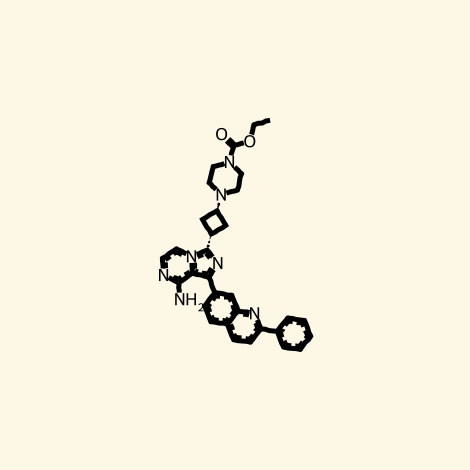 CCOC(=O)N1CCN([C@H]2C[C@@H](c3nc(-c4ccc5ccc(-c6ccccc6)nc5c4)c4c(N)nccn43)C2)CC1